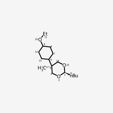 CCCC[C@H]1OC[C@@](C)(C2CCC(OCC)CC2)CO1